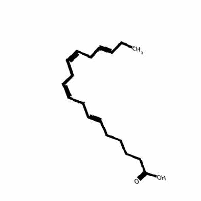 CC/C=C/C/C=C\C/C=C\C/C=C/CCCCC(=O)O